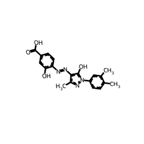 Cc1ccc(-n2nc(C)c(/N=N/c3ccc(C(=O)O)cc3O)c2O)cc1C